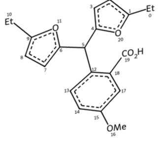 CCc1ccc(C(c2ccc(CC)o2)c2ccc(OC)cc2C(=O)O)o1